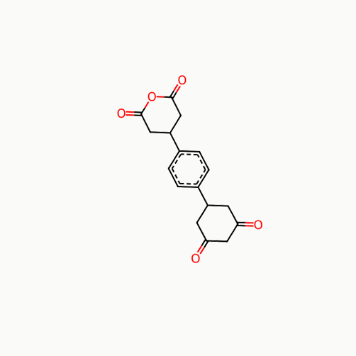 O=C1CC(=O)CC(c2ccc(C3CC(=O)OC(=O)C3)cc2)C1